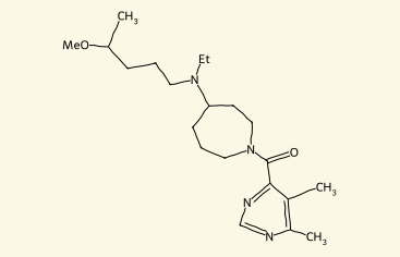 CCN(CCCC(C)OC)C1CCCN(C(=O)c2ncnc(C)c2C)CC1